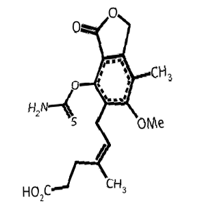 COc1c(C)c2c(c(OC(N)=S)c1CC=C(C)CCC(=O)O)C(=O)OC2